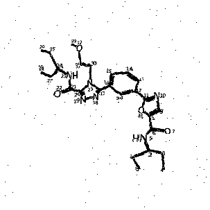 CCC(CC)NC(=O)c1cnc(-c2cccc(-c3nnc(C(=O)NC(CC)CC)n3CCOC)c2)o1